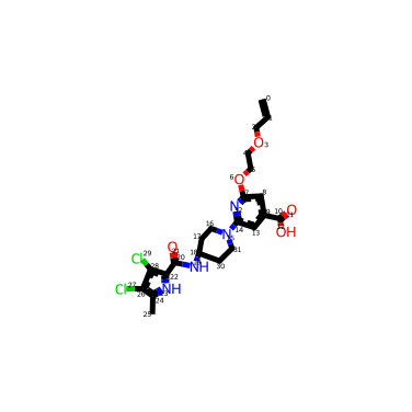 C=CCOCCOc1cc(C(=O)O)cc(N2CCC(NC(=O)c3[nH]c(C)c(Cl)c3Cl)CC2)n1